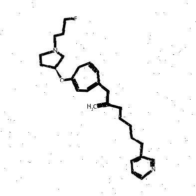 C=C(CCCCCc1cccnc1)CC1=CC=C(O[C@H]2CCN(CCCF)C2)CC=C1